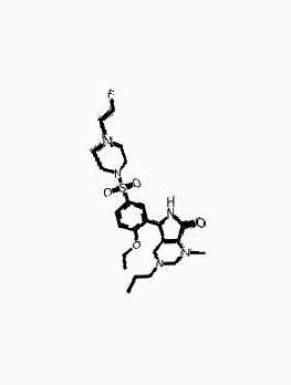 CCCN1CC2=C(C(=O)NC2c2cc(S(=O)(=O)N3CCN(CCF)CC3)ccc2OCC)N(C)C1